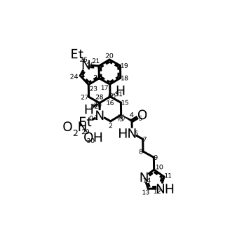 CCN1C[C@H](C(=O)NCCCc2c[nH]cn2)C[C@@H]2c3cccc4c3c(cn4CC)C[C@H]21.O=[N+]([O-])O